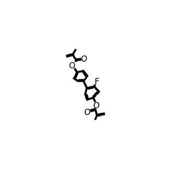 C=C(C)C(=O)Oc1ccc(-c2ccc(OC(=O)C(=C)C)cc2F)cc1